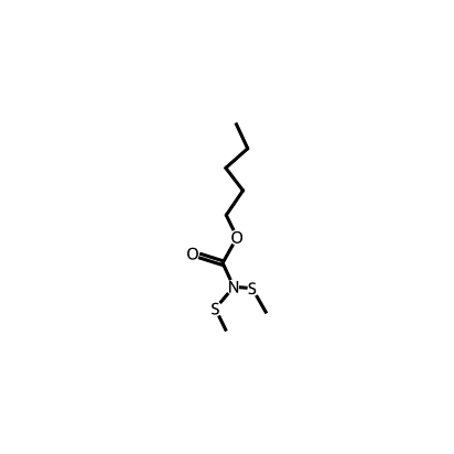 CCCCCOC(=O)N(SC)SC